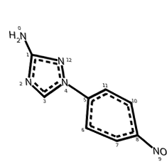 Nc1ncn(-c2ccc([N+](=O)[O-])cc2)n1